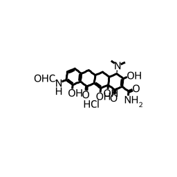 CN(C)[C@@H]1C(O)=C(C(N)=O)C(=O)C2(O)C(O)=C3C(=O)c4c(ccc(NC=O)c4O)CC3CC12.Cl